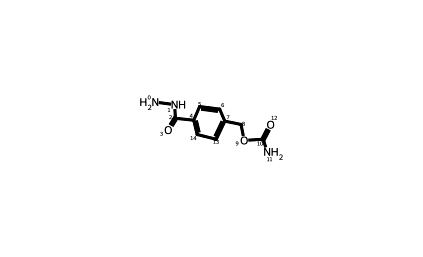 NNC(=O)c1ccc(COC(N)=O)cc1